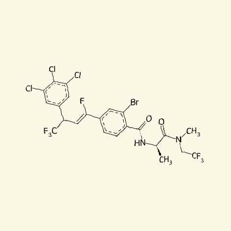 C[C@@H](NC(=O)c1ccc(/C(F)=C/C(c2cc(Cl)c(Cl)c(Cl)c2)C(F)(F)F)cc1Br)C(=O)N(C)CC(F)(F)F